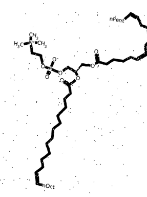 CCCCC/C=C\C/C=C\C/C=C\CCCCC(=O)OC[C@H](COP(=O)([O-])OCC[N+](C)(C)C)OC(=O)CCCCCCCCCCC/C=C\CCCCCCCC